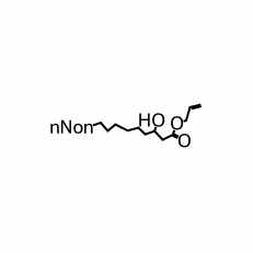 C=CCOC(=O)CC(O)CCCCCCCCCCCCCCC